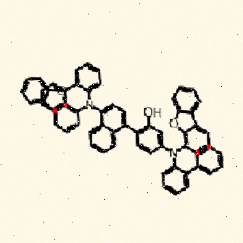 Oc1cc(N(c2ccccc2-c2ccccc2)c2cccc3c2oc2ccccc23)ccc1-c1ccc(N(c2ccccc2-c2ccccc2)c2cccc3c2oc2ccccc23)c2ccccc12